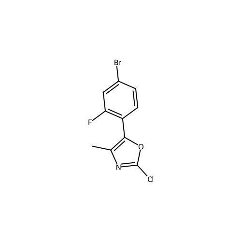 Cc1nc(Cl)oc1-c1ccc(Br)cc1F